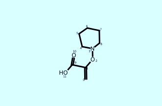 C=C(ON1CCCCC1)C(=O)O